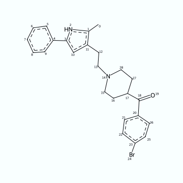 Cc1[nH]c(-c2ccccc2)cc1CCN1CCC(C(=O)c2ccc(Br)cc2)CC1